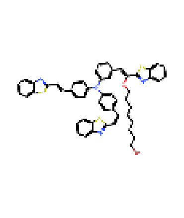 BrCCCCCCCCOC(=Cc1cccc(N(c2ccc(C=Cc3nc4ccccc4s3)cc2)c2ccc(C=Cc3nc4ccccc4s3)cc2)c1)c1nc2ccccc2s1